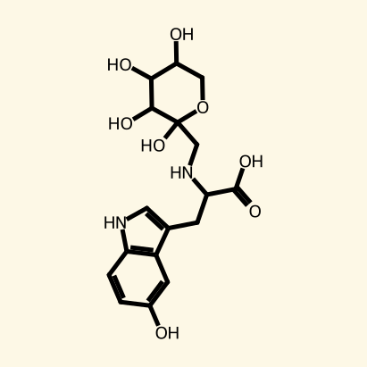 O=C(O)C(Cc1c[nH]c2ccc(O)cc12)NCC1(O)OCC(O)C(O)C1O